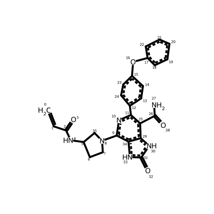 C=CC(=O)NC1CCN(c2nc(-c3ccc(Oc4ccccc4)cc3)c(C(N)=O)c3[nH]c(=O)[nH]c23)C1